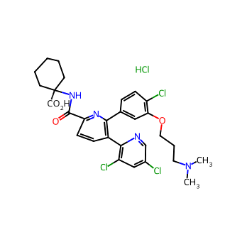 CN(C)CCCOc1cc(-c2nc(C(=O)NC3(C(=O)O)CCCCC3)ccc2-c2ncc(Cl)cc2Cl)ccc1Cl.Cl